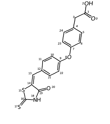 O=C(O)Cc1ccc(Oc2ccc(/C=C3/SC(=S)NC3=O)cc2)cc1